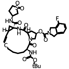 CC(C)(C)OC(=O)N[C@H]1CCCCC/C=C\[C@@H]2C[C@@]2(C(=O)N[C@H]2CCS(=O)(=O)C2)NC(=O)[C@@H]2C[C@@H](OC(=O)N3Cc4cccc(F)c4C3)CN2C1=O